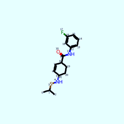 CC(C)SN[C@H]1C=CC(C(=O)Nc2cccc(F)c2)CC1